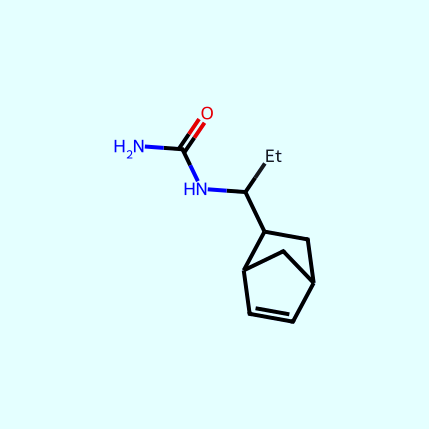 CCC(NC(N)=O)C1CC2C=CC1C2